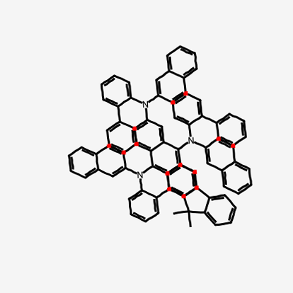 CC1(C)c2ccccc2-c2cc3c(N(c4ccc5ccccc5c4)c4ccccc4-c4ccccc4)c4cc(N(c5ccc6ccccc6c5)c5ccccc5-c5ccccc5)ccc4c(N(c4ccc5ccccc5c4)c4ccccc4-c4ccccc4)c3cc21